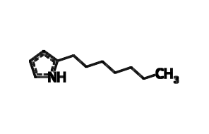 CCCCCCCc1ccc[nH]1